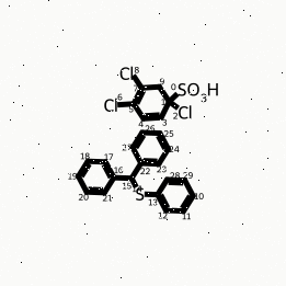 O=S(=O)(O)C1(Cl)C=CC(Cl)=C(Cl)C1.c1ccc(SC(c2ccccc2)c2ccccc2)cc1